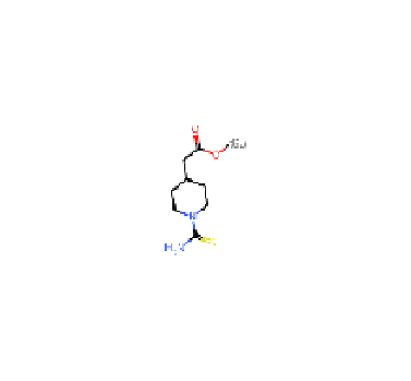 CC(C)(C)OC(=O)CC1CCN(C(N)=S)CC1